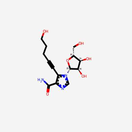 NC(=O)c1ncn([C@@H]2O[C@H](CO)[C@@H](O)[C@H]2O)c1C#CCCCO